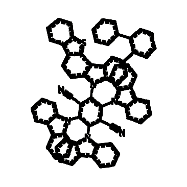 N#Cc1c(-n2c3ccccc3c3ccccc32)c(-n2c3ccccc3c3ccccc32)c(C#N)c(-n2c3ccc(-c4ccccc4-c4ccccc4)cc3c3c4sc5ccccc5c4ccc32)c1-n1c2ccccc2c2ccccc21